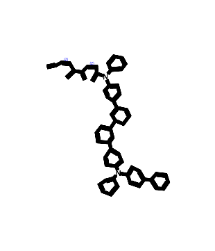 C=C/C=C\C(=C)C(=C)/C=C\C(=C)N(c1ccccc1)c1ccc(C2=CC(c3cccc(-c4ccc(N(c5ccccc5)c5ccc(-c6ccccc6)cc5)cc4)c3)CC=C2)cc1